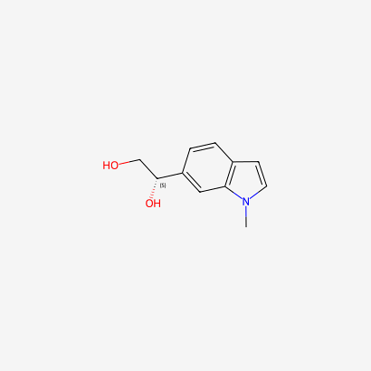 Cn1ccc2ccc([C@H](O)CO)cc21